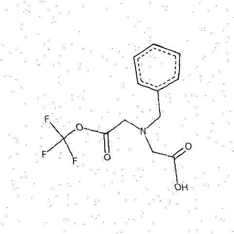 O=C(O)CN(CC(=O)OC(F)(F)F)Cc1ccccc1